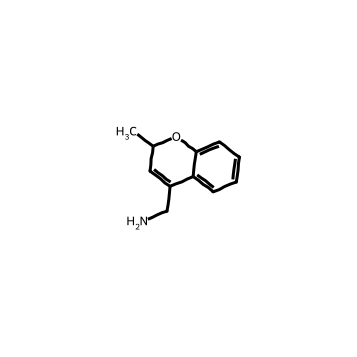 CC1C=C(CN)c2ccccc2O1